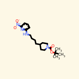 CC(C)(C)OC(=O)N1CCC(CCCCNc2cccc([N+](=O)[O-])n2)CC1